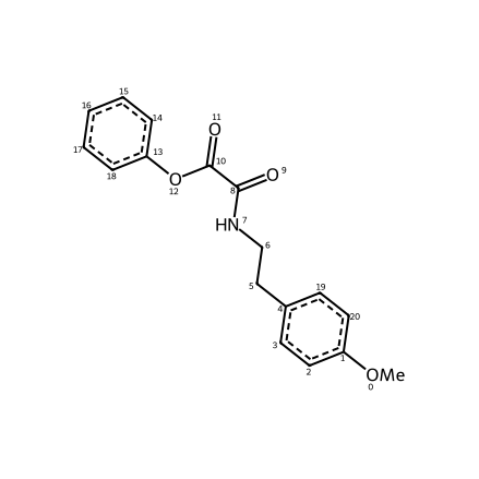 COc1ccc(CCNC(=O)C(=O)Oc2ccccc2)cc1